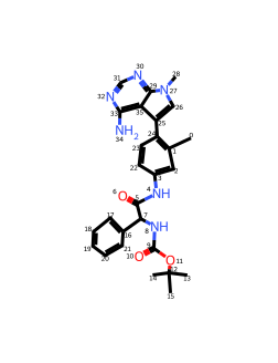 Cc1cc(NC(=O)C(NC(=O)OC(C)(C)C)c2ccccc2)ccc1-c1cn(C)c2ncnc(N)c12